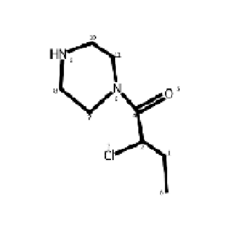 CCC(Cl)C(=O)N1CCNCC1